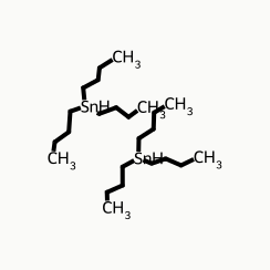 CCC[CH2][SnH]([CH2]CCC)[CH2]CCC.CCC[CH2][SnH]([CH2]CCC)[CH2]CCC